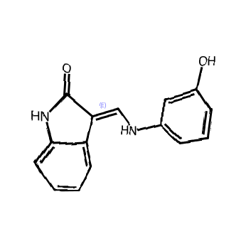 O=C1Nc2ccccc2/C1=C\Nc1cccc(O)c1